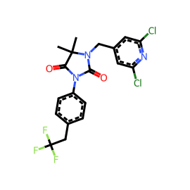 CC1(C)C(=O)N(c2ccc(CC(F)(F)F)cc2)C(=O)N1Cc1cc(Cl)nc(Cl)c1